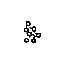 c1ccc(N2c3ccccc3-c3c(n(-c4cccc(-n5c6ccccc6c6ccccc65)c4)c4ccccc34)-c3ccccc32)cc1